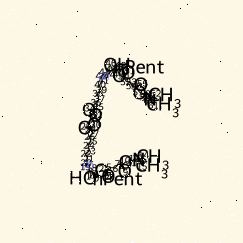 CCCCCC(OC(=O)CCCC(=O)OCCN(C)C)C(O)C/C=C\CCCCCCCC(=O)OCOC(=O)CCCCCCC/C=C\CC(O)C(CCCCC)OC(=O)CCCC(=O)OCCN(C)C